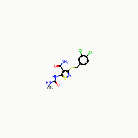 CCCCNC(=O)Nc1snc(SCc2ccc(Cl)c(Cl)c2)c1C(N)=O